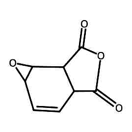 O=C1OC(=O)C2C1C=CC1OC12